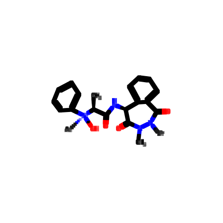 CC(=O)[N@+](O)(c1ccccc1)[C@@H](C)C(=O)N[C@@H]1C(=O)N(C)N(C(C)C)C(=O)c2ccccc21